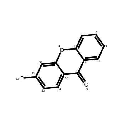 O=c1c2ccccc2oc2cc(F)ccc12